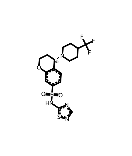 O=S(=O)(Nc1ncns1)c1ccc2c(c1)OCC[C@@H]2N1CCC(C(F)(F)F)CC1